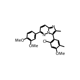 COc1cc(Cl)c(-c2c(C)nc3ccc(-c4ccc(OC)c(OC)c4)nn23)cc1C